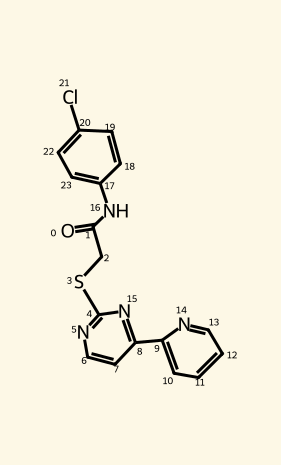 O=C(CSc1nccc(-c2ccccn2)n1)Nc1ccc(Cl)cc1